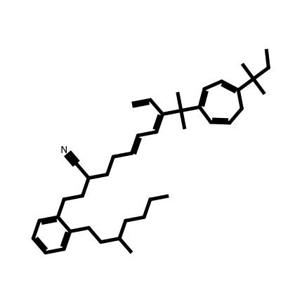 C=C/C(=C\C=C\CCC(C#N)CCc1ccccc1CCC(C)CCCC)C(C)(C)C1=CC=C(C(C)(C)CC)CC=C1